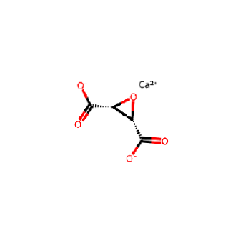 O=C([O-])[C@H]1O[C@H]1C(=O)[O-].[Ca+2]